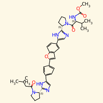 COC(=O)N[C@H](C(=O)N1CCC[C@H]1c1ncc(-c2ccc3oc(-c4ccc(-c5cnc([C@@H]6CCCN6C(=O)CC(C)C)[nH]5)cc4)cc3c2)[nH]1)C(C)C